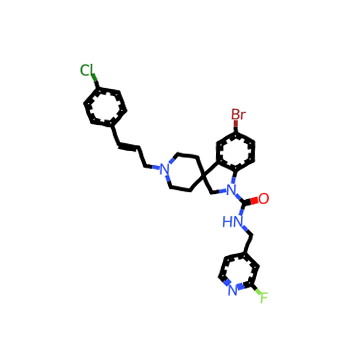 O=C(NCc1ccnc(F)c1)N1CC2(CCN(CC=Cc3ccc(Cl)cc3)CC2)c2cc(Br)ccc21